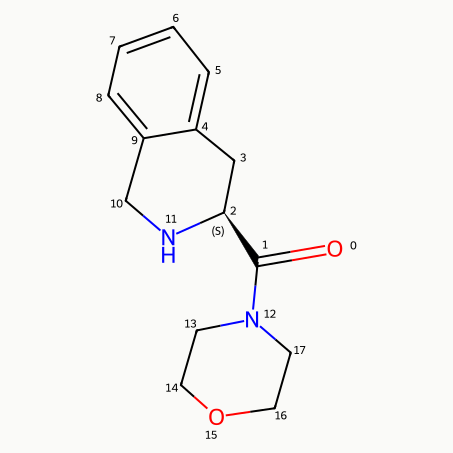 O=C([C@@H]1Cc2ccccc2CN1)N1CCOCC1